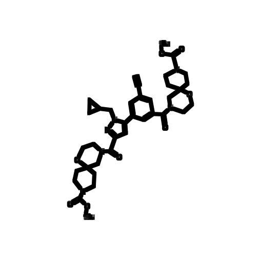 C#Cc1cc(C(=O)N2CCOC3(CCN(C(=O)OC(C)(C)C)CC3)C2)cc(-c2cc(C(=O)N3CCOC4(CCN(C(=O)OC(C)(C)C)CC4)C3)nn2CC2CC2)c1